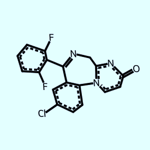 O=c1ccn2c(n1)CN=C(c1c(F)cccc1F)c1cc(Cl)ccc1-2